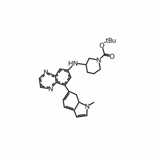 CN1C=CC2=CC=C(c3cc(NC4CCCN(C(=O)OC(C)(C)C)C4)cc4nccnc34)CC21